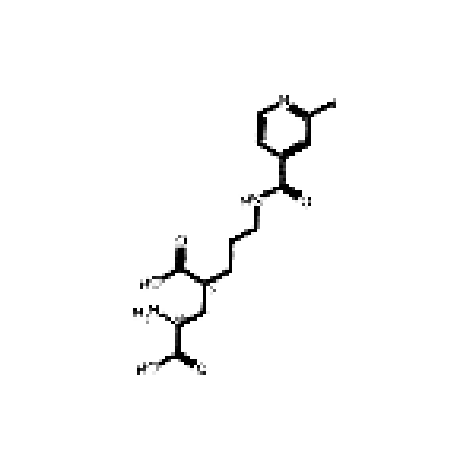 N[C@@H](C[C@H](CCCNC(=O)c1ccnc(I)c1)C(=O)O)C(=O)O